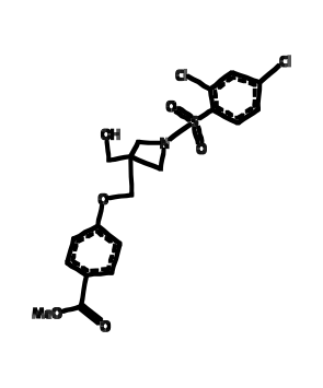 COC(=O)c1ccc(OCC2(CO)CN(S(=O)(=O)c3ccc(Cl)cc3Cl)C2)cc1